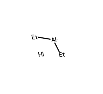 C[CH2][Al][CH2]C.I